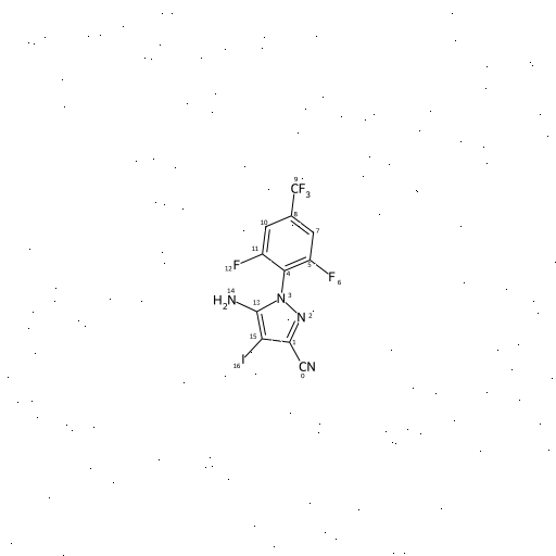 N#Cc1nn(-c2c(F)cc(C(F)(F)F)cc2F)c(N)c1I